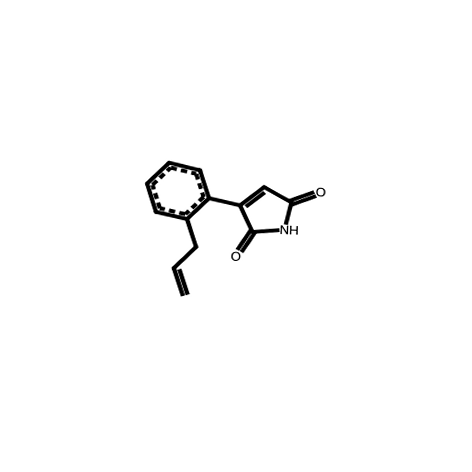 C=CCc1ccccc1C1=CC(=O)NC1=O